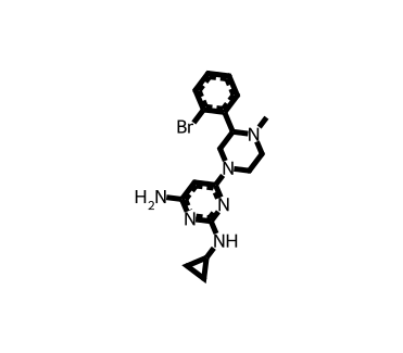 CN1CCN(c2cc(N)nc(NC3CC3)n2)CC1c1ccccc1Br